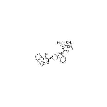 CC1CC2CCCC(C2)C1NC(=O)N1CCC2(CC1)CN(C(=O)OC(C)(C)C)c1ccccc12